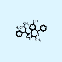 CC1N=C(c2ccccc2)c2cc(O)ccc2-n2c1nnc2C(CN(C)C)c1ccccc1